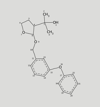 CC(C)(O)C1CCOC1OCc1cccc(Oc2ccccc2)c1